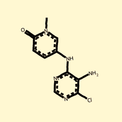 Cn1cc(Nc2ncnc(Cl)c2N)ccc1=O